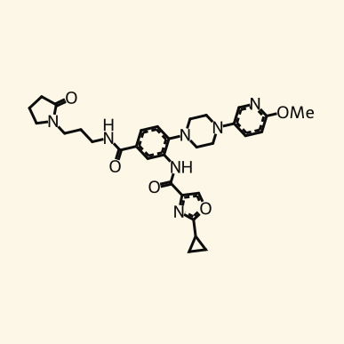 COc1ccc(N2CCN(c3ccc(C(=O)NCCCN4CCCC4=O)cc3NC(=O)c3coc(C4CC4)n3)CC2)cn1